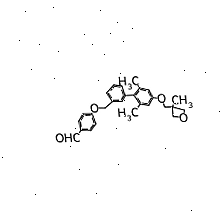 Cc1cc(OCC2(C)COC2)cc(C)c1-c1cccc(COc2ccc(C=O)cc2)c1